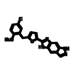 CC(C)COc1ccc(Cl)cc1Cc1ccc(-c2nc3cc4[nH]ncc4cc3[nH]2)o1